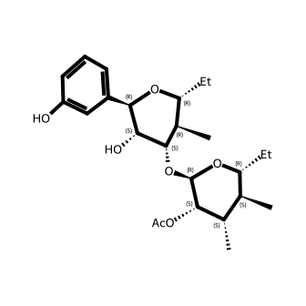 CC[C@H]1O[C@H](O[C@H]2[C@H](C)[C@@H](CC)O[C@H](c3cccc(O)c3)[C@H]2O)[C@@H](OC(C)=O)[C@@H](C)[C@@H]1C